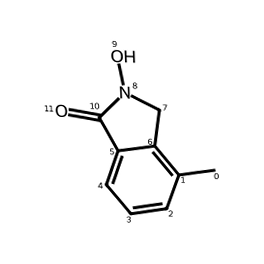 Cc1cccc2c1CN(O)C2=O